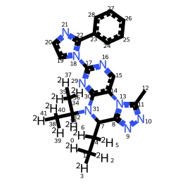 [2H]C([2H])([2H])C([2H])([2H])C1c2nnc(C)n2-c2cnc(-n3ccnc3-c3ccccc3)nc2N1C([2H])(C([2H])([2H])[2H])C([2H])([2H])[2H]